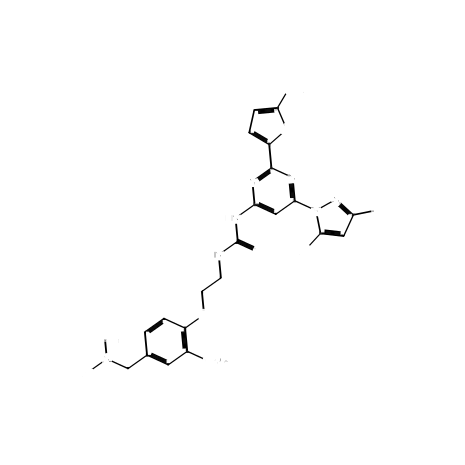 COc1cc(CN(C)C)ccc1OCCNC(=O)Nc1cc(-n2nc(C)cc2C)nc(-c2ccc(C)o2)n1